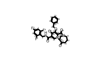 O=C(NCc1c(F)cc(F)cc1F)c1cn2c(c(OCc3ccccc3)c1=O)C(=O)N1CCCC(=O)C2C1